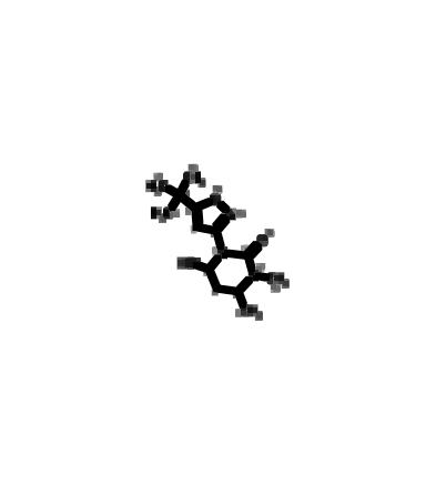 CC1CC(O)N(c2cc(C(C)(C)C)on2)C(=O)N1C